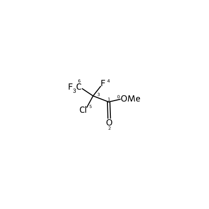 COC(=O)C(F)(Cl)C(F)(F)F